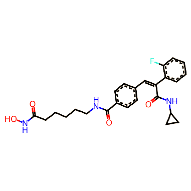 O=C(CCCCCNC(=O)c1ccc(C=C(C(=O)NC2CC2)c2ccccc2F)cc1)NO